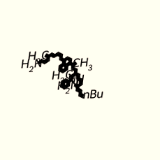 C=C(/C=C\CN)/C=C/C=C\CC1=c2ccccc2=C(C(C)CCC(/C=C/C=C\C(N)/C=C/C=C\CCCC)[C@H](C)Nc2ccccc2)CC1